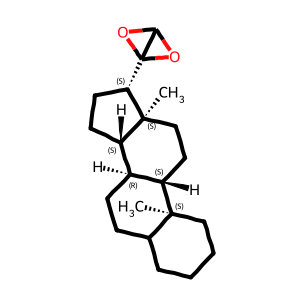 C[C@]12CC[C@H]3[C@@H](CCC4CCCC[C@@]43C)[C@@H]1CC[C@@H]2C12OC1O2